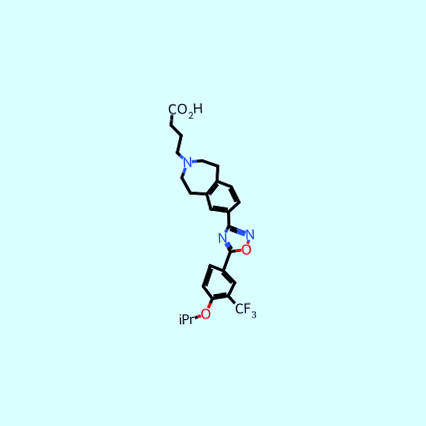 CC(C)Oc1ccc(-c2nc(-c3ccc4c(c3)CCN(CCCC(=O)O)CC4)no2)cc1C(F)(F)F